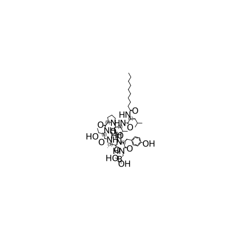 CCCCCCCCCC(=O)N[C@@H](CC(C)C)C(=O)N[C@H](C(=O)N1CCC[C@@H]1C(=O)N[C@H](C(=O)N[C@@H](C)C(=O)N[C@@H](Cc1ccc(O)cc1)C(=O)NCB(O)O)C(C)O)C(C)O